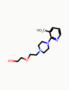 O=C(O)c1cccnc1N1CCN(CCOCCO)CC1